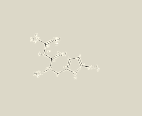 Cc1ccc(CN(C)C(=N)NC(=N)N)o1